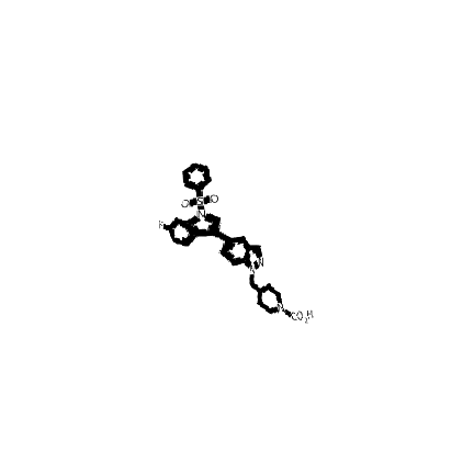 O=C(O)N1CCC(Cn2ncc3cc(-c4cn(S(=O)(=O)c5ccccc5)c5cc(F)ccc45)ccc32)CC1